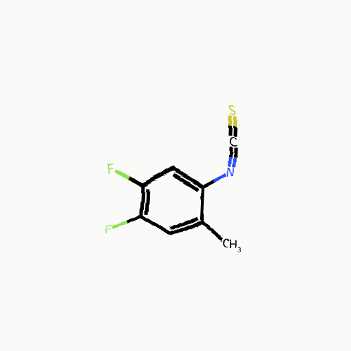 Cc1cc(F)c(F)cc1N=C=S